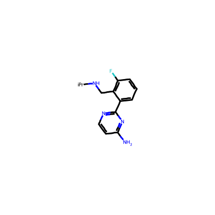 CC(C)NCc1c(F)cccc1-c1nccc(N)n1